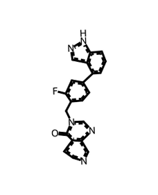 O=c1c2ccncc2ncn1Cc1ccc(-c2cccc3[nH]ncc23)cc1F